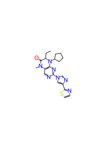 CCC1C(=O)N(C)c2cnc(-n3cnc(-c4nccs4)c3)nc2N1C1CCCC1